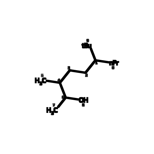 CCCC(CCC(C)C(C)O)C(C)(C)C